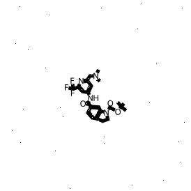 CN(C)Cc1cc(NC(=O)c2ccc3c(c2)N(C(=O)OC(C)(C)C)CC3)cc(C(F)(F)F)n1